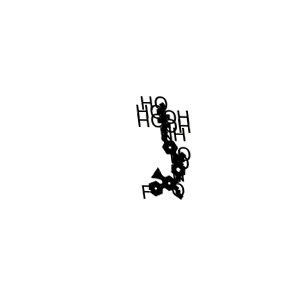 CCOc1cc(-c2ccc(F)cc2)c(C2CC2)cc1CN1CCC2(CC1)CN(c1ccc(CNCC(O)C(O)C(O)C(O)CO)cc1)C(=O)O2